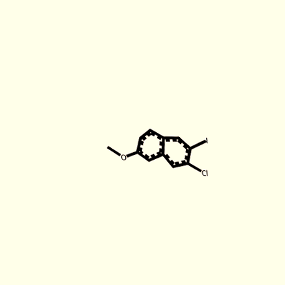 COc1ccc2cc(I)c(Cl)cc2c1